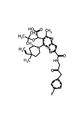 C=CC1(C)CCN(c2c(C(OC(C)(C)C)C(=O)O)c(C)nc3cc(C(=O)NCC(=O)Cc4ccc(F)cc4)nn23)CC1